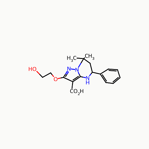 CC1(C)CC(c2ccccc2)Nc2c(C(=O)O)c(OCCO)nn21